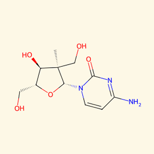 C[C@@]1(CO)[C@H](O)[C@@H](CO)O[C@H]1n1ccc(N)nc1=O